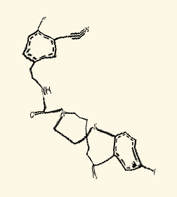 N#Cc1cc(CNC(=O)N2CCC3(CC2)CC(=O)c2cc(F)ccc2S3)ccc1F